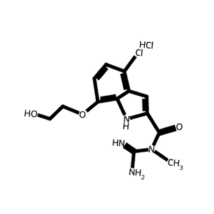 CN(C(=N)N)C(=O)c1cc2c(Cl)ccc(OCCO)c2[nH]1.Cl